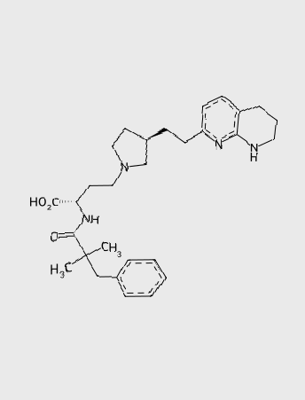 CC(C)(Cc1ccccc1)C(=O)N[C@@H](CCN1CC[C@@H](CCc2ccc3c(n2)NCCC3)C1)C(=O)O